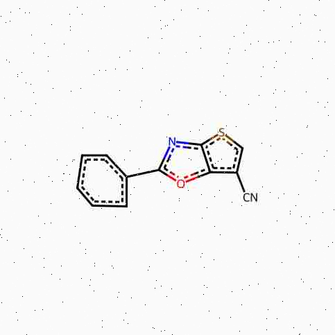 N#Cc1csc2nc(-c3ccccc3)oc12